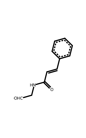 O=[C]CNC(=O)C=Cc1ccccc1